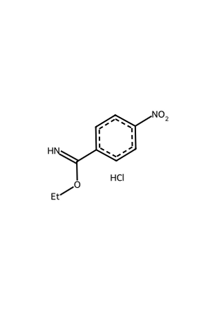 CCOC(=N)c1ccc([N+](=O)[O-])cc1.Cl